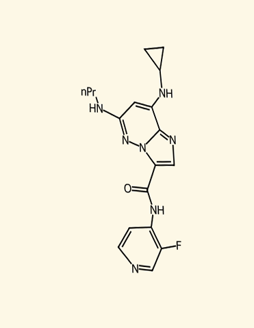 CCCNc1cc(NC2CC2)c2ncc(C(=O)Nc3ccncc3F)n2n1